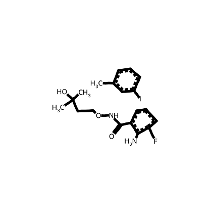 CC(C)(O)CCONC(=O)c1cccc(F)c1N.Cc1cccc(I)c1